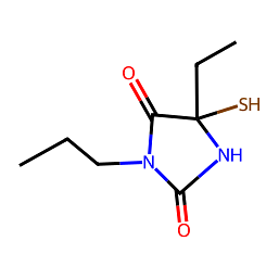 CCCN1C(=O)NC(S)(CC)C1=O